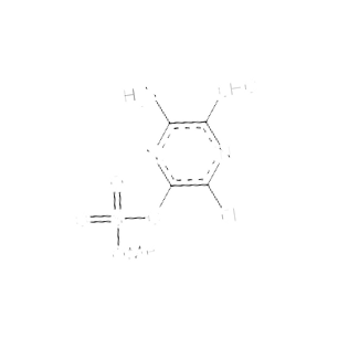 COS(=O)(=O)Oc1nc(N)c(C=O)nc1Cl